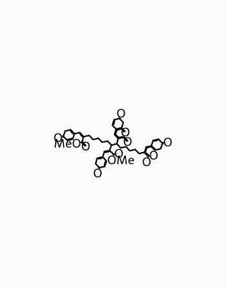 COC(=O)C(=CC1=CCC(=O)C=C1)CCCCCC(C(=CC1=CCC(=O)C=C1)C(=O)OC)C(CCCCCc1cc2c(oc1=O)CC(=O)C=C2)c1cc2c(oc1=O)CC(=O)C=C2